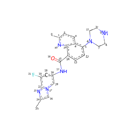 Cc1ccc2c(N3CCNCC3)ccc(C(=O)Nc3cc(F)c4nc(C)cn4c3)c2n1